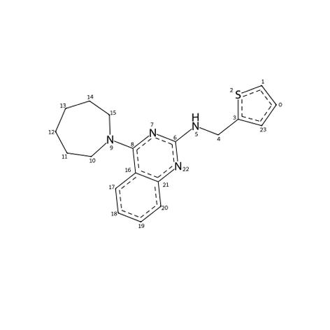 c1csc(CNc2nc(N3CCCCCC3)c3ccccc3n2)c1